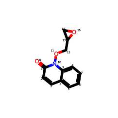 O=c1ccc2ccccc2n1OCC1CO1